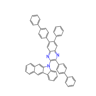 c1ccc(-c2ccc(-c3cc4nc(-n5c6ccccc6c6cc7ccccc7cc65)c(-c5ccc(-c6ccccc6)cc5)nc4cc3-c3ccccc3)cc2)cc1